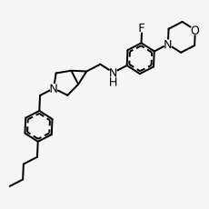 CCCCc1ccc(CN2CC3C(CNc4ccc(N5CCOCC5)c(F)c4)C3C2)cc1